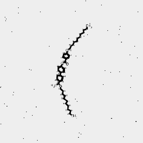 CCCCCCCCCCCCOc1ccc(C(=O)Oc2ccc(-c3ccc(C(C)OCCCCCCCCCCCC)cc3)cc2)cc1